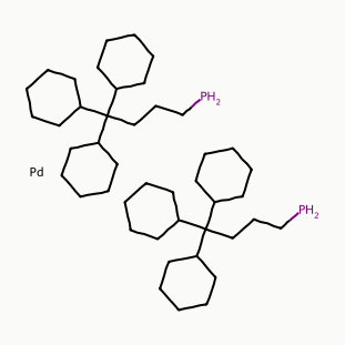 PCCCC(C1CCCCC1)(C1CCCCC1)C1CCCCC1.PCCCC(C1CCCCC1)(C1CCCCC1)C1CCCCC1.[Pd]